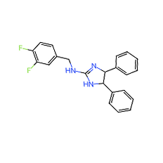 Fc1ccc(CNC2=NC(c3ccccc3)C(c3ccccc3)N2)cc1F